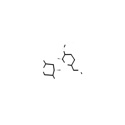 CC1COC(C(=O)O)[C@H](O[C@@H]2OC(COS(=O)(=O)O)C[C@@H](O)C2NS(=O)(=O)O)[C@H]1O